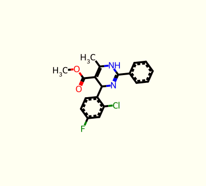 COC(=O)C1=C(C)NC(c2ccccc2)=NC1c1ccc(F)cc1Cl